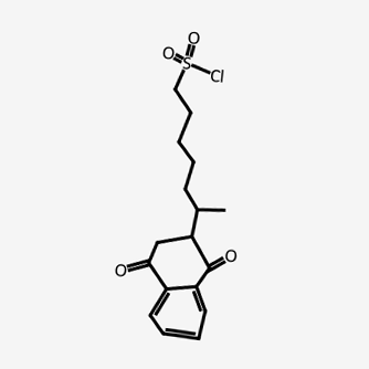 CC(CCCCCS(=O)(=O)Cl)C1CC(=O)c2ccccc2C1=O